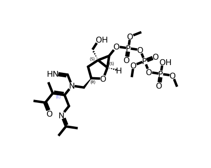 COP(=O)(O)OP(=O)(OC)OP(=O)(OC)OC1[C@H]2O[C@@H](CN(C=N)/C(CN=C(C)C)=C(\C)C(C)=O)C[C@@]12CO